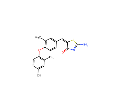 COc1cc(C=C2SC(N)=NC2=O)ccc1Oc1ccc(C#N)cc1C(F)(F)F